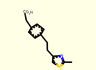 Cc1nc(CCc2ccc(CC(=O)O)cc2)cs1